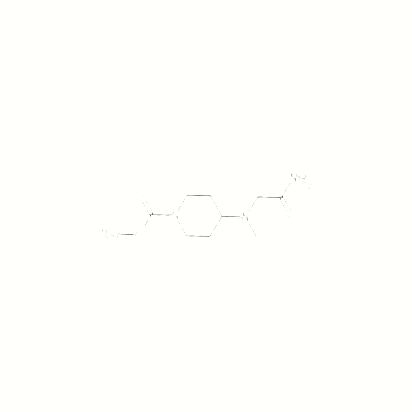 CN(CC(N)=O)C1CCN(C(=O)OC(C)(C)C)CC1